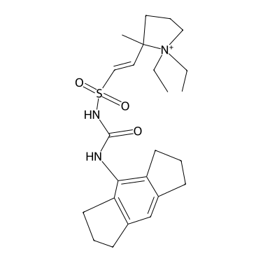 CC[N+]1(CC)CCCC1(C)C=CS(=O)(=O)NC(=O)Nc1c2c(cc3c1CCC3)CCC2